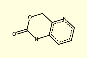 O=C1[N]c2cccnc2CO1